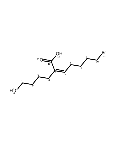 CCCCCC(=CCCCCBr)C(=O)O